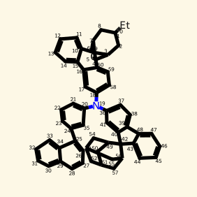 CCC1CC2CCCC(C1)C21c2ccccc2-c2cc(N(c3cccc(-c4cccc5ccccc45)c3)c3ccc4c(c3)C3(c5ccccc5-4)C4CC5CC(C4)CC3C5)ccc21